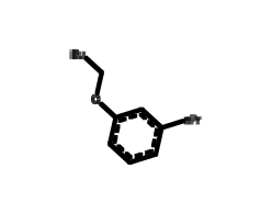 CCCc1cccc(OCC(C)CC)c1